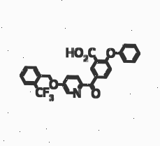 O=C(c1ccc(Oc2ccccc2)c(C(=O)O)c1)c1ccc(OCc2ccccc2C(F)(F)F)cn1